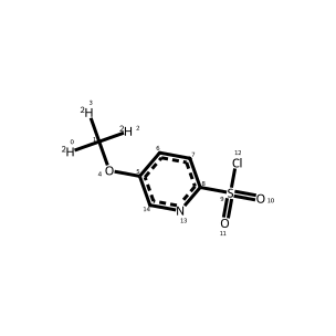 [2H]C([2H])([2H])Oc1ccc(S(=O)(=O)Cl)nc1